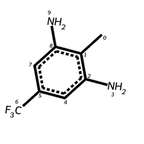 Cc1c(N)cc(C(F)(F)F)cc1N